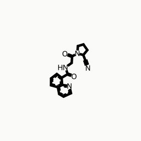 N#CC1CCCN1C(=O)CNC(=O)c1cccc2cccnc12